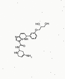 NC1=CCNC(NC(=O)c2cnc3n2NC(c2cccc(OC[C@H](O)CO)c2)C=C3)C1